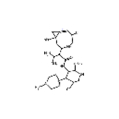 CCCCCCC1NCC(Cl)C(N2CCN(C)CC2)C1NC(=O)C(C(N)N)C1CC2(CCC)C/C2=C/C(Cl)CN1